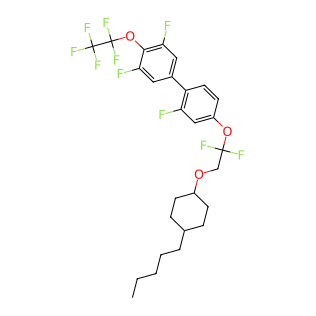 CCCCCC1CCC(OCC(F)(F)Oc2ccc(-c3cc(F)c(OC(F)(F)C(F)(F)F)c(F)c3)c(F)c2)CC1